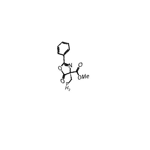 COC(=O)[C@@]1(CP)N=C(c2ccccc2)OC1=O